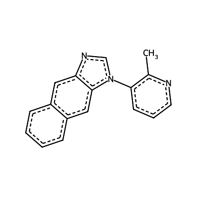 Cc1ncccc1-n1cnc2cc3ccccc3cc21